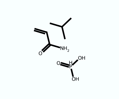 C=CC(N)=O.CC(C)C.O=[PH](O)O